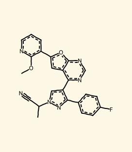 COc1ncccc1-c1cc2c(-c3cn(C(C)C#N)nc3-c3ccc(F)cc3)ncnc2o1